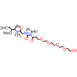 CCC(C)C(C(CC=O)OC)N(C)C(=O)CNC(=O)N(C(=O)CCOCCOCCOCCOCCO)C(CC)C(C)C